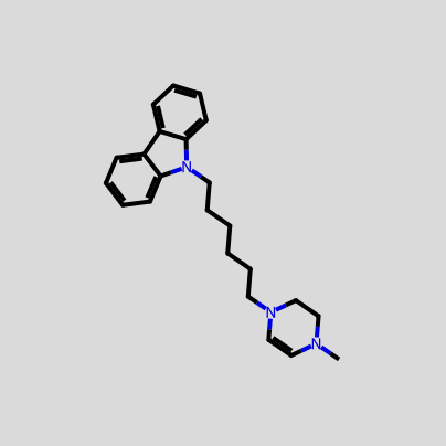 CN1C=CN(CCCCCCn2c3ccccc3c3ccccc32)CC1